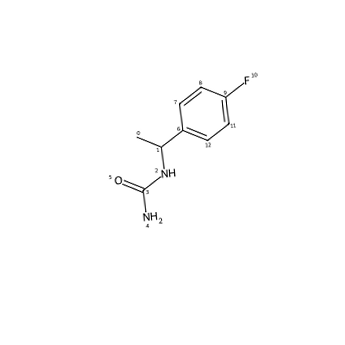 CC(NC(N)=O)c1ccc(F)cc1